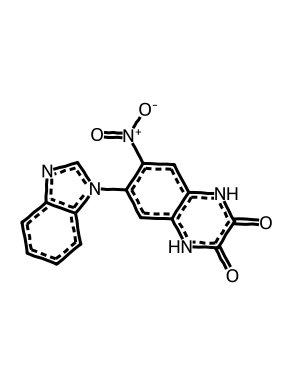 O=c1[nH]c2cc(-n3cnc4ccccc43)c([N+](=O)[O-])cc2[nH]c1=O